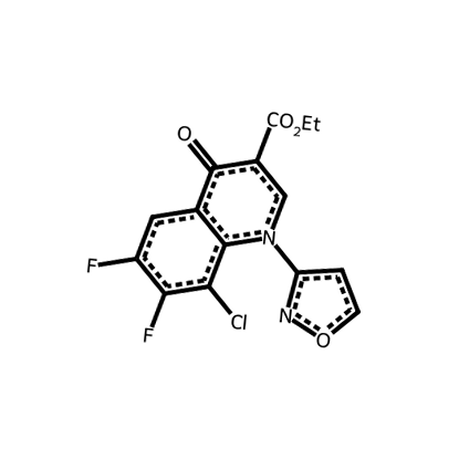 CCOC(=O)c1cn(-c2ccon2)c2c(Cl)c(F)c(F)cc2c1=O